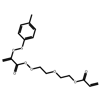 C=CC(=O)OCCOCCOOC(=O)C(=C)OSc1ccc(C)cc1